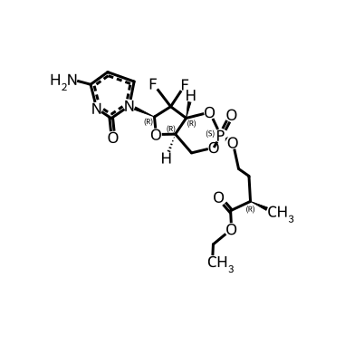 CCOC(=O)[C@H](C)CCO[P@@]1(=O)OC[C@H]2O[C@@H](n3ccc(N)nc3=O)C(F)(F)[C@@H]2O1